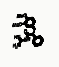 COc1ccc(C[C@@H](C(=O)NC(=N)N)c2ccccc2)cc1OC